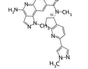 CN(C(=O)c1ccc2nc(N)c3cnn(C)c3c2c1)[C@H]1CCc2nc(-c3cnn(C)c3)ccc21